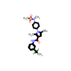 Cc1c(C(=O)Nc2cccc(C(C)(F)F)c2)cc(C(C)(C)C)n1[C@H]1CC[C@@H](N(C)S(C)(=O)=O)CC1